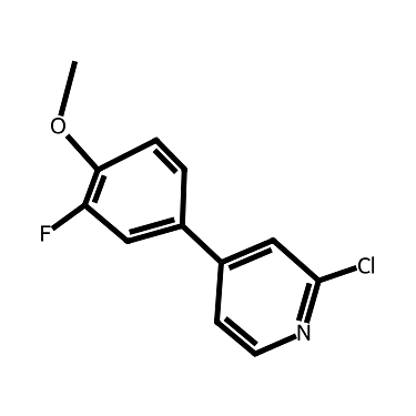 COc1ccc(-c2ccnc(Cl)c2)cc1F